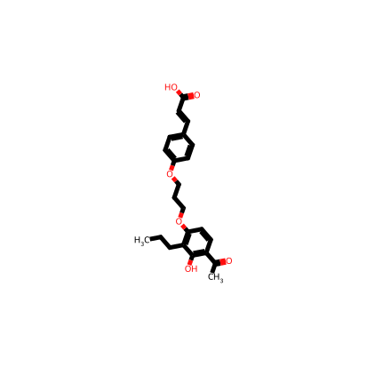 CCCc1c(OCCCOc2ccc(/C=C/C(=O)O)cc2)ccc(C(C)=O)c1O